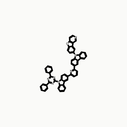 c1ccc(-c2nc(-c3ccccc3)nc(-n3c4ccccc4c4cc(-c5cccc(-c6ccc7c(c6)c6ccccc6n7-c6ccc7oc8ccncc8c7c6)n5)ccc43)n2)cc1